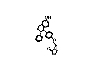 O=C1CCCN1CCOc1ccc([C@@H]2c3ccc(O)cc3CC[C@@H]2c2ccccc2)cc1